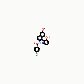 COc1ccc2c(-c3ccccc3O)c(NC(=O)c3ccc(Cl)cc3)ccc2c1